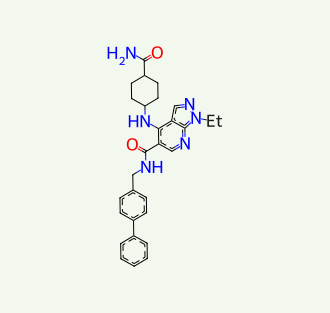 CCn1ncc2c(NC3CCC(C(N)=O)CC3)c(C(=O)NCc3ccc(-c4ccccc4)cc3)cnc21